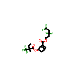 CCC(C)(C(=O)OC1CC2CC(C(=O)OCCC(F)(F)CC(F)F)C1C2)C(F)(F)F